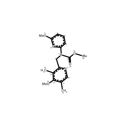 COc1cccc(N(Cc2ncc(C)c(OC)c2C)C(=O)OC(C)(C)C)n1